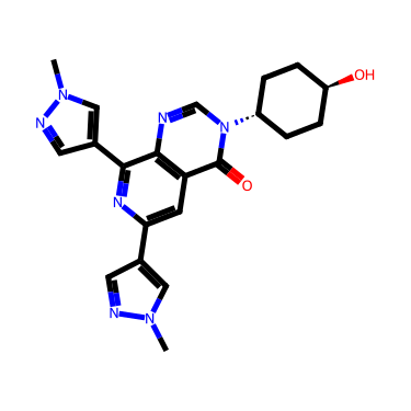 Cn1cc(-c2cc3c(=O)n([C@H]4CC[C@H](O)CC4)cnc3c(-c3cnn(C)c3)n2)cn1